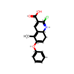 CC1=C2C=C(C(=O)O)C(Cl)=NC2CC=C1Oc1ccccc1